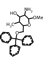 COC1OC(COC(c2ccccc2)(c2ccccc2)c2ccccc2)C(C)C(O)C1N